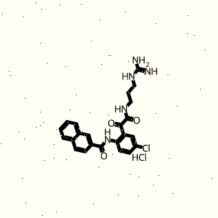 Cl.N=C(N)NCCCNC(=O)C(=O)c1cc(Cl)ccc1NC(=O)c1ccc2ccccc2c1